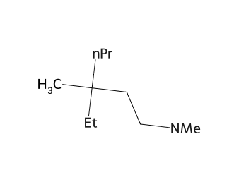 CCCC(C)(CC)CCNC